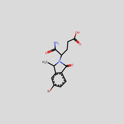 CC1c2cc(Br)ccc2C(=O)N1C(CCC(=O)O)C(N)=O